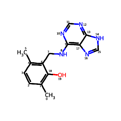 Cc1ccc(C)c(CNc2ncnc3[nH]cnc23)c1O